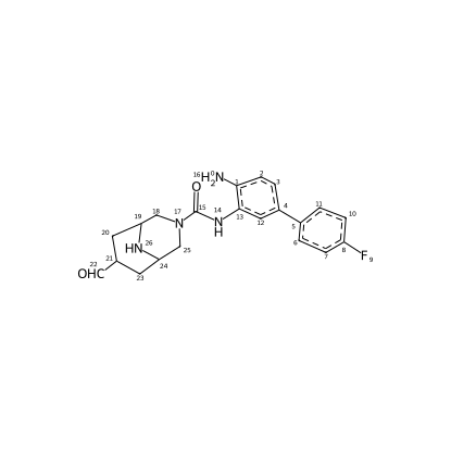 Nc1ccc(-c2ccc(F)cc2)cc1NC(=O)N1CC2CC(C=O)CC(C1)N2